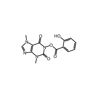 Cn1cnc2c1c(=O)n(OC(=O)c1ccccc1O)c(=O)n2C